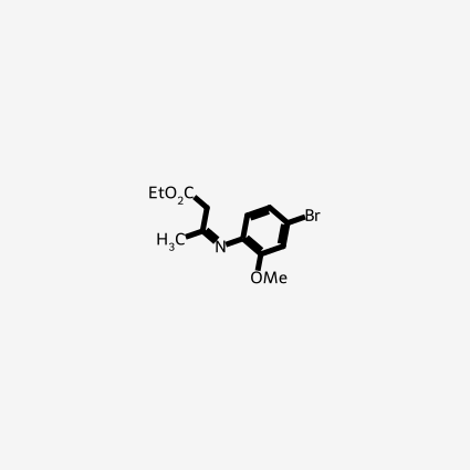 CCOC(=O)CC(C)=Nc1ccc(Br)cc1OC